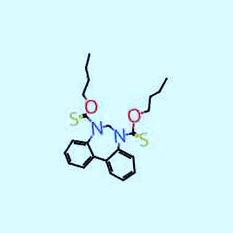 CCCCOC(=S)N1CN(C(=S)OCCCC)c2ccccc2-c2ccccc21